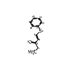 CCC(=O)/C=C/Sc1ccccc1